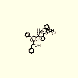 CC1(C)C2CCC1(C)C(OC(=O)C1CCCN1C(=O)C(CSc1cccs1)NC(=O)C(O)Cc1ccccc1)C2